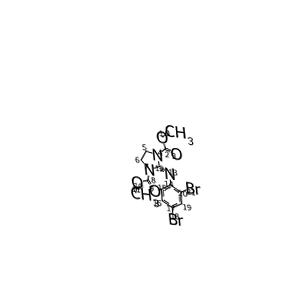 COC(=O)N1CCN(C(=O)OC)C1=Nc1ccc(Br)cc1Br